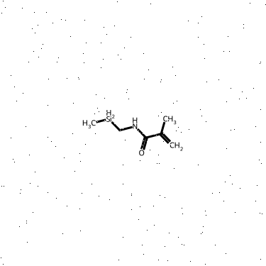 C=C(C)C(=O)NC[SiH2]C